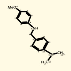 COc1ccc(NCc2ccc(N(C)C)cc2)cc1